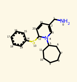 NCC1=CN(C2CCCCCC2)C(Sc2ccccc2)C=C1